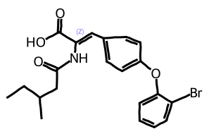 CCC(C)CC(=O)N/C(=C\c1ccc(Oc2ccccc2Br)cc1)C(=O)O